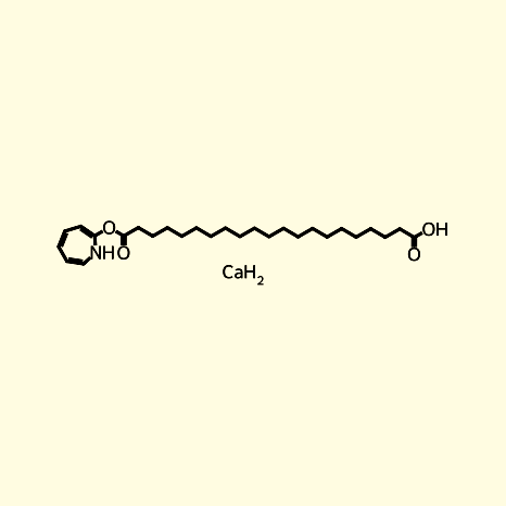 O=C(O)CCCCCCCCCCCCCCCCCCCC(=O)OC1=CC=CC=CN1.[CaH2]